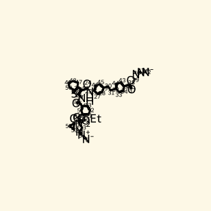 CCOC(=O)C1(N(CN=[N+]=[N-])S(=O)(=O)c2cccc(C(=O)Nc3sc4c(c3C(=O)Nc3ccc(CCc5ccc(C(=O)OCN=[N+]=[N-])cc5)cc3)CCCC4)c2)CC1